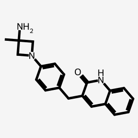 CC1(N)CN(c2ccc(Cc3cc4ccccc4[nH]c3=O)cc2)C1